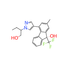 CCC(CO)n1cc(-c2cc(C)cc3c2-c2ccccc2[C@]3(O)C(F)(F)F)cn1